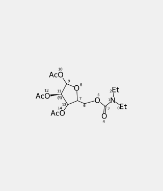 CCN(CC)C(=O)OCC1OC(OC(C)=O)[C@H](OC(C)=O)C1OC(C)=O